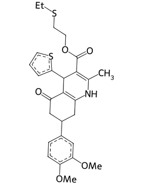 CCSCCOC(=O)C1=C(C)NC2=C(C(=O)CC(c3ccc(OC)c(OC)c3)C2)C1c1cccs1